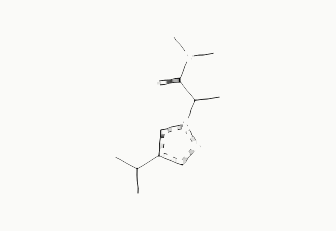 CC(C)c1cnn(C(C)C(=O)N(C)C)c1